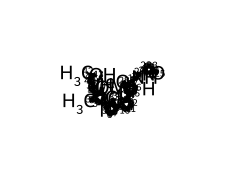 COc1cc(-c2nccc(-c3cccc(-c4ccc(CNC[C@@H]5CCC(=O)N5)c(OC)n4)c3Cl)c2Cl)cc(C)c1CNC[C@@H](C)O